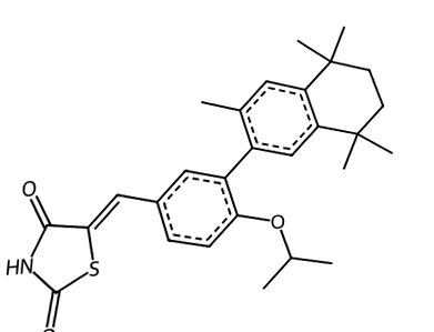 Cc1cc2c(cc1-c1cc(/C=C3\SC(=O)NC3=O)ccc1OC(C)C)C(C)(C)CCC2(C)C